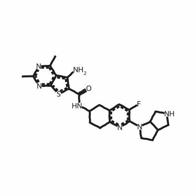 Cc1nc(C)c2c(N)c(C(=O)NC3CCc4nc(N5CCC6CNCC65)c(F)cc4C3)sc2n1